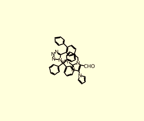 CCCc1nc(-n2cccc2)c(C=O)n1Cc1ccc(-c2ccccc2)c(-c2nnnn2C(c2ccccc2)(c2ccccc2)c2ccccc2)c1